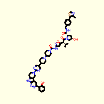 Cc1ncsc1-c1ccc(CNC(=O)[C@@H]2C[C@@H](O)CN2C(=O)[C@@H](c2cc(NC(=O)N3CCC(N4CCC(c5cnc(N6CCc7[nH]c8nnc(-c9ccccc9O)cc8c7[C@H]6C)nc5)CC4)CC3)no2)C(C)C)cc1